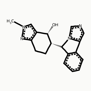 Cn1cc2c(n1)CC[C@@H](C1c3ccccc3-c3cncn31)[C@H]2O